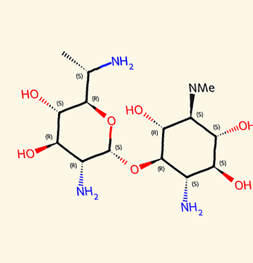 CN[C@H]1[C@H](O)[C@@H](O)[C@H](N)[C@@H](O[C@H]2O[C@H]([C@H](C)N)[C@@H](O)[C@H](O)[C@H]2N)[C@@H]1O